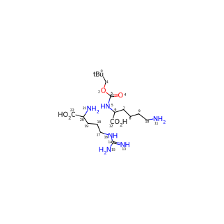 CC(C)(C)COC(=O)NC(CCCCN)C(=O)O.N=C(N)NCCCC(N)C(=O)O